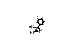 CCCCn1c(S)nnc1-c1cccc(Cl)c1